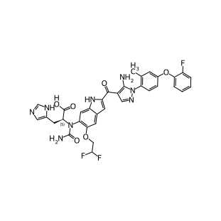 Cc1cc(Oc2ccccc2F)ccc1-n1ncc(C(=O)c2cc3cc(OCC(F)F)c(N(C(N)=O)[C@@H](Cc4cnc[nH]4)C(=O)O)cc3[nH]2)c1N